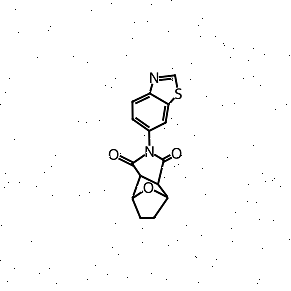 O=C1C2C3CCC(O3)C2C(=O)N1c1ccc2ncsc2c1